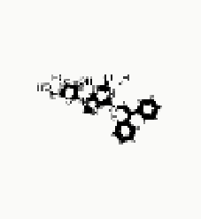 O=C(O)c1nc(NCC(c2ccccc2)c2ccccc2)c2ncn([C@@H]3O[C@H](CO)[C@@H](O)[C@H]3O)c2n1